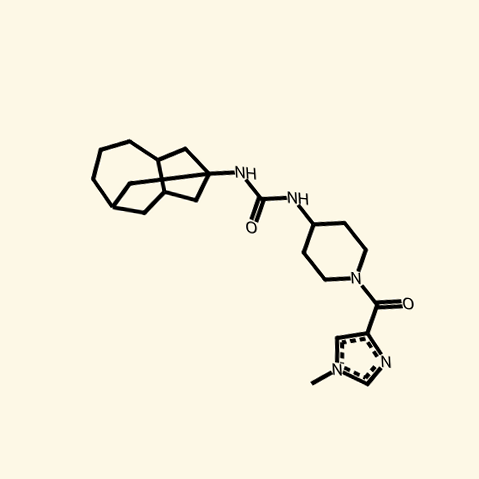 Cn1cnc(C(=O)N2CCC(NC(=O)NC34CC5CCCC(C3)C(C5)C4)CC2)c1